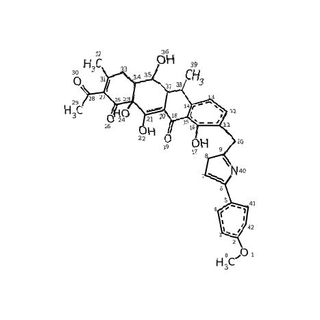 COc1ccc(C2=CCC(Cc3ccc4c(c3O)C(=O)C3=C(O)C5(O)C(=O)C(C(C)=O)=C(C)CC5C(O)C3C4C)=N2)cc1